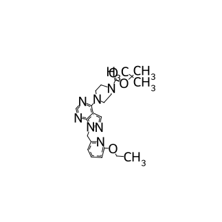 CCOc1cccc(Cn2ncc3c(N4CCN(C(=O)OC(C)(C)C)CC4)ncnc32)n1